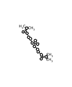 Cc1cc(C)cc(-n2c3ccccc3c3cc(-c4ccc5cc(-c6ccc7c(c6)C6(c8ccccc8-c8ccccc86)c6cc(-c8ccc9cc(-c%10ccc%11c(c%10)c%10ccccc%10n%11-c%10cc(C)cc(C)c%10)ccc9c8)ccc6-7)ccc5c4)ccc32)c1